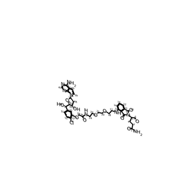 NC(=O)CCC(C=O)N1C(=O)c2cccc(NCCOCCOCCNC(=O)COc3cc([C@@H](O)[C@H]4O[C@@H](n5ccc6c(N)ncnc65)C[C@@H]4O)ccc3Cl)c2C1=O